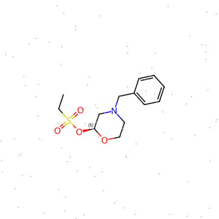 CCS(=O)(=O)O[C@H]1CN(Cc2ccccc2)CCO1